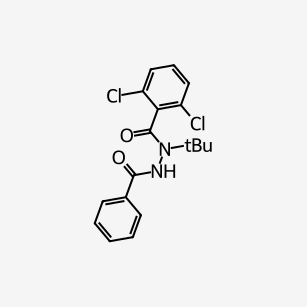 CC(C)(C)N(NC(=O)c1ccccc1)C(=O)c1c(Cl)cccc1Cl